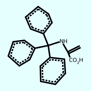 C=C(NC(c1ccccc1)(c1ccccc1)c1ccccc1)C(=O)O